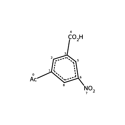 CC(=O)c1cc(C(=O)O)cc([N+](=O)[O-])c1